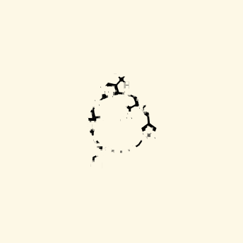 CCOP1(=O)Cc2ccc(c(Cl)c2)Nc2ncc(C(F)(F)F)c(n2)Nc2ccc(nc2C(=O)NC)-c2cnn(c2)CCCCO1